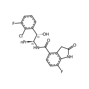 CCC[C@H](NC(=O)c1ccc(F)c2c1CC(=O)N2)[C@@H](O)c1cccc(F)c1Cl